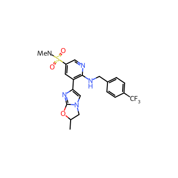 CNS(=O)(=O)c1cnc(NCc2ccc(C(F)(F)F)cc2)c(-c2cn3c(n2)OC(C)C3)c1